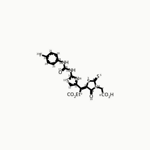 CCOC(=O)C(=C1SC(=S)N(CC(=O)O)C1=O)c1csc(NC(=O)Nc2ccc(F)cc2)n1